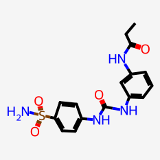 CCC(=O)Nc1cccc(NC(=O)Nc2ccc(S(N)(=O)=O)cc2)c1